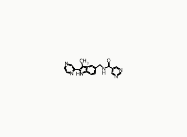 Cc1c(-c2cnccn2)[nH]c2ccc(CNC(=O)c3cncnc3)cc12